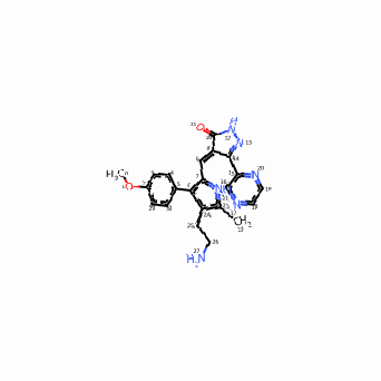 COc1ccc(-c2c(/C=C3/C(=O)NN=C3c3cnccn3)[nH]c(C)c2CCN)cc1